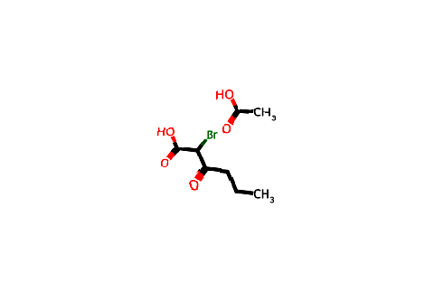 CC(=O)O.CCCC(=O)C(Br)C(=O)O